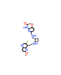 COc1ccc2ncc(F)c(CCNC3CCC3CNCc3ccc4c(n3)NC(=O)CO4)c2n1